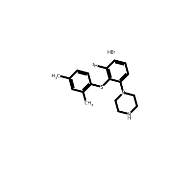 Br.[2H]c1cccc(N2CCNCC2)c1Sc1ccc(C)cc1C